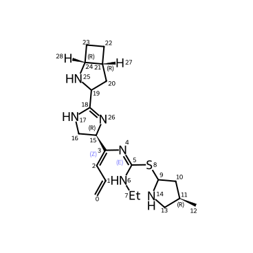 C=C/C=C(\N=C(/NCC)SC1C[C@@H](C)CN1)[C@H]1CNC(C2C[C@H]3CC[C@H]3N2)=N1